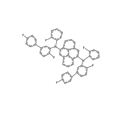 Fc1ccc(-c2ccc(F)c(N(c3ccccc3F)c3cc4cccc5c(N(c6ccccc6F)c6cc(-c7ccc(F)cc7)ccc6F)cc6cccc3c6c45)c2)cc1